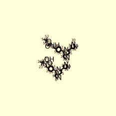 Cn1cc(-c2cc3nccn3c(-c3ccc(CN(C(=O)O)C(C)(C)C)cc3)n2)cn1.Cn1cc(-c2cc3nccn3c(-c3ccc(CNC(=O)OC(C)(C)C)cc3)n2)cn1